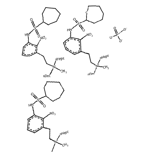 CCCCCCCCCC[N+](C)(CCCCCCC)CCc1cccc(NS(=O)(=O)C2CCCCCC2)c1[N+](=O)[O-].CCCCCCCCCC[N+](C)(CCCCCCC)CCc1cccc(NS(=O)(=O)C2CCCCCC2)c1[N+](=O)[O-].CCCCCCCCCC[N+](C)(CCCCCCC)CCc1cccc(NS(=O)(=O)C2CCCCCC2)c1[N+](=O)[O-].O=P([O-])([O-])[O-]